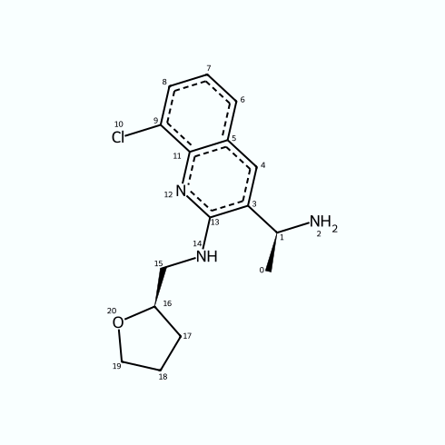 C[C@H](N)c1cc2cccc(Cl)c2nc1NC[C@H]1CCCO1